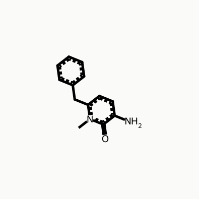 Cn1c(Cc2ccccc2)ccc(N)c1=O